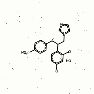 Cl.O=C(O)c1ccc(SC(Cn2ccnc2)c2ccc(Cl)cc2Cl)cc1